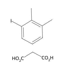 Cc1cccc(I)c1C.O=C(O)CC(=O)O